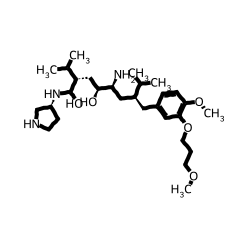 COCCCOc1cc(C[C@@H](C[C@H](N)[C@@H](O)C[C@@H](C(C)C)C(O)N[C@@H]2CCNC2)C(C)C)ccc1OC